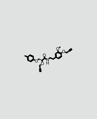 C#CCOc1ccc(CCNC(=O)[C@H](COc2ccc(C)cc2)OCC#C)cc1OC